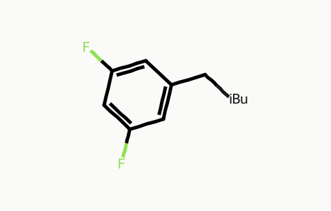 CCC(C)Cc1cc(F)cc(F)c1